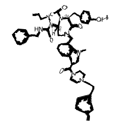 C=CCN1CC(=O)N2[C@@H](Cc3ccc(O)cc3)C(=O)N(Cc3cccc4c(C(=O)N5CCN(Cc6ccc(C)cc6)CC5)cn(C)c34)C[C@@H]2N1C(=O)NCc1ccccc1